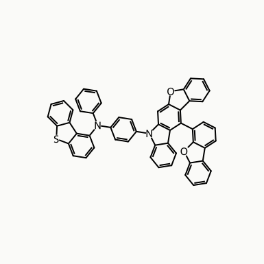 c1ccc(N(c2ccc(-n3c4ccccc4c4c(-c5cccc6c5oc5ccccc56)c5c(cc43)oc3ccccc35)cc2)c2cccc3sc4ccccc4c23)cc1